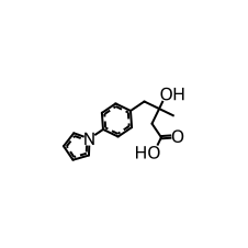 CC(O)(CC(=O)O)Cc1ccc(-n2cccc2)cc1